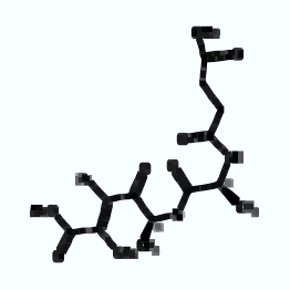 COC(=O)CCC(=O)N[C@@H](C)C(=O)[N][C@@H](C)C(=O)C(=C(OC(C)=O)C(=O)OC)C(C)C